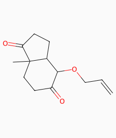 C=CCOC1C(=O)CCC2(C)C(=O)CCC12